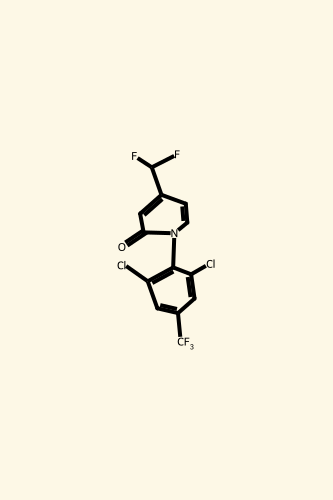 O=c1cc(C(F)F)ccn1-c1c(Cl)cc(C(F)(F)F)cc1Cl